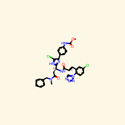 COC(=O)Nc1ccc(-c2nc([C@H](CC(=O)N(C)Cc3ccccc3)NC(=O)/C=C/c3cc(Cl)ccc3-n3cnnn3)[nH]c2Cl)cc1